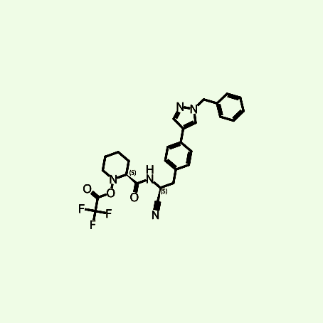 N#C[C@H](Cc1ccc(-c2cnn(Cc3ccccc3)c2)cc1)NC(=O)[C@@H]1CCCCN1OC(=O)C(F)(F)F